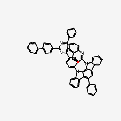 c1ccc(-c2ccc(-c3nc(-c4ccccc4)nc(-c4ccc(-n5c6ccccc6c6c(-c7ccccc7)cc7c8ccccc8n(-c8ccc9ccccc9n8)c7c65)cc4)n3)cc2)cc1